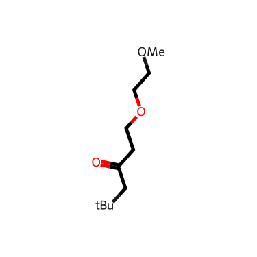 COCCOCCC(=O)CC(C)(C)C